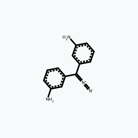 [N-]=[N+]=C(c1cccc(N)c1)c1cccc(N)c1